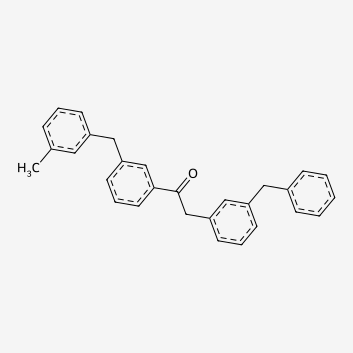 Cc1cccc(Cc2cccc(C(=O)Cc3cccc(Cc4ccccc4)c3)c2)c1